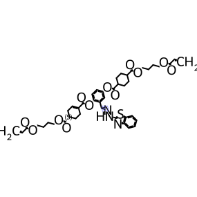 C=CC(=O)OCCCCOC(=O)C1CCC(C(=O)Oc2ccc(OC(=O)C3=CC[C@@H](C(=O)OCCCCOC(=O)C=C)CC3)c(/C=N/Nc3nc4ccccc4s3)c2)CC1